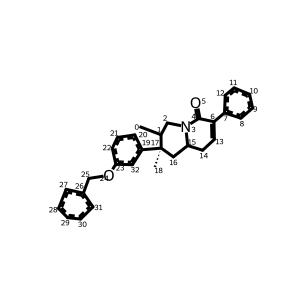 CC1CN2C(=O)C(c3ccccc3)=CCC2C[C@@]1(C)c1cccc(OCc2ccccc2)c1